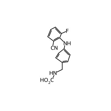 N#Cc1cccc(F)c1Nc1ccc(CNC(=O)O)cc1